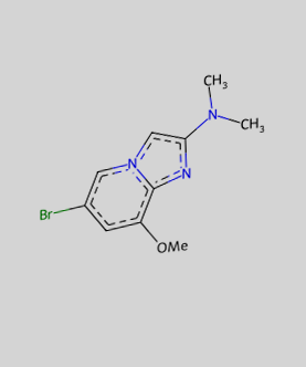 COc1cc(Br)cn2cc(N(C)C)nc12